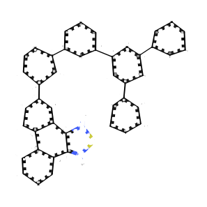 c1ccc(-c2cc(-c3ccccc3)cc(-c3cccc(-c4cccc(-c5ccc6c7ccccc7c7nsnc7c6c5)c4)c3)c2)cc1